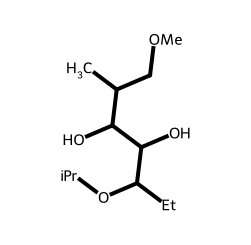 CCC(OC(C)C)C(O)C(O)C(C)COC